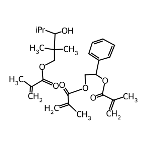 C=C(C)C(=O)OCC(C)(C)C(O)C(C)C.C=C(C)C(=O)OCC(OC(=O)C(=C)C)c1ccccc1